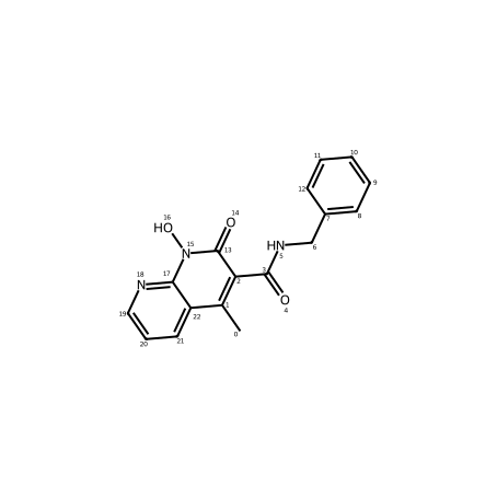 Cc1c(C(=O)NCc2ccccc2)c(=O)n(O)c2ncccc12